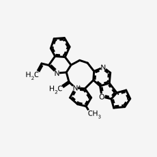 C=CC1=NC2C(=C)[n+]3ccc(C)cc3-c3c(ncc4c3oc3ccccc34)CCC2c2ccccc21